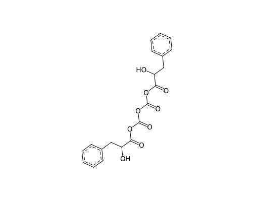 O=C(OC(=O)OC(=O)C(O)Cc1ccccc1)OC(=O)C(O)Cc1ccccc1